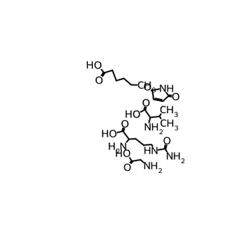 CC(C)C(N)C(=O)O.CCCCCC(=O)O.NC(=O)NCCCC(N)C(=O)O.NCC(=O)O.O=C1C=CC(=O)N1